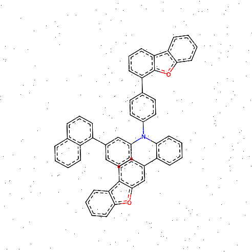 c1cc(-c2cccc3ccccc23)cc(N(c2ccc(-c3cccc4c3oc3ccccc34)cc2)c2ccccc2-c2ccc3c(c2)oc2ccccc23)c1